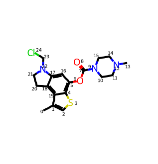 Cc1csc2c(OC(=O)N3CCN(C)CC3)cc3c(c12)CCN3CCl